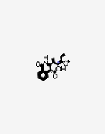 C=C(/C=C(\CC)OC)[C@@H]1NC(=O)c2ccccc2[C@@H]1C(=O)O